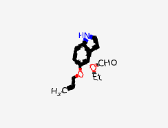 C=CCOc1ccc2[nH]ccc2c1.CCOC=O